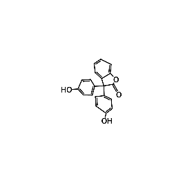 O=C1Oc2ccccc2C1(c1ccc(O)cc1)c1ccc(O)cc1